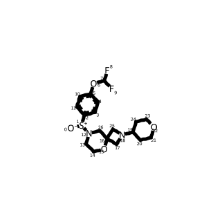 [O-][S+](c1ccc(OC(F)F)cc1)N1CCOC2(CN(C3CCOCC3)C2)C1